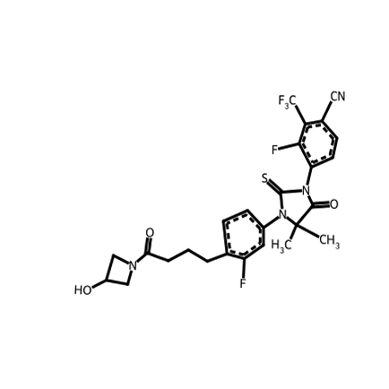 CC1(C)C(=O)N(c2ccc(C#N)c(C(F)(F)F)c2F)C(=S)N1c1ccc(CCCC(=O)N2CC(O)C2)c(F)c1